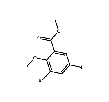 COC(=O)c1cc(I)cc(Br)c1OC